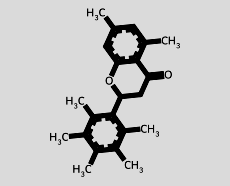 Cc1cc(C)c2c(c1)OC(c1c(C)c(C)c(C)c(C)c1C)CC2=O